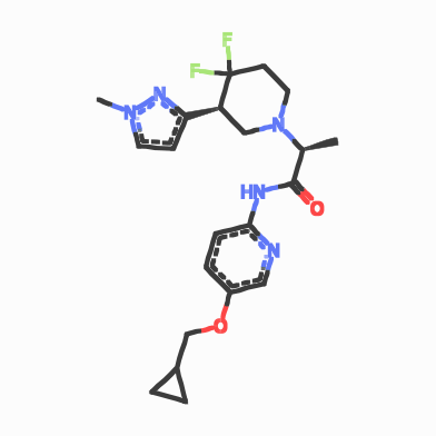 C[C@@H](C(=O)Nc1ccc(OCC2CC2)cn1)N1CCC(F)(F)[C@H](c2ccn(C)n2)C1